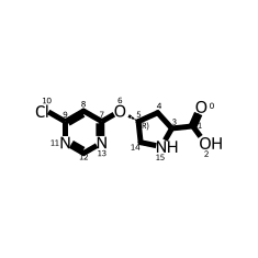 O=C(O)C1C[C@@H](Oc2cc(Cl)ncn2)CN1